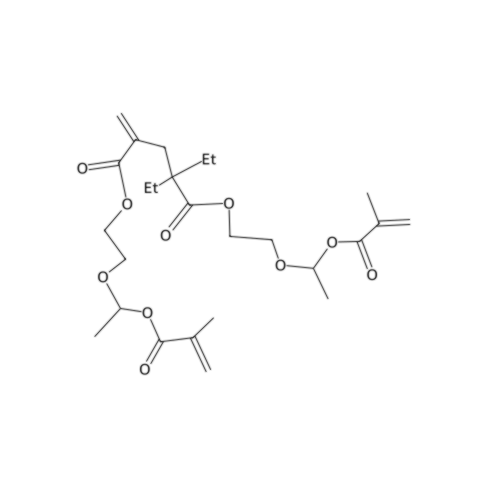 C=C(C)C(=O)OC(C)OCCOC(=O)C(=C)CC(CC)(CC)C(=O)OCCOC(C)OC(=O)C(=C)C